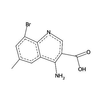 Cc1cc(Br)c2ncc(C(=O)O)c(N)c2c1